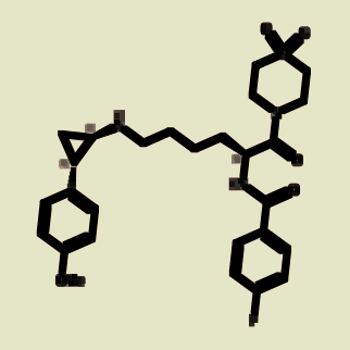 COc1ccc([C@@H]2C[C@H]2NCCCC[C@H](NC(=O)c2ccc(F)cc2)C(=O)N2CCS(=O)(=O)CC2)cc1